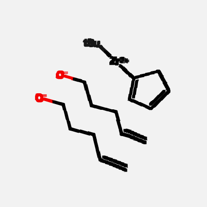 C=CCCC[O-].C=CCCC[O-].C[C](C)(C)[Zr+2][C]1=CC=CC1